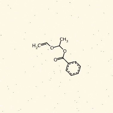 C=COC(C)OC(=O)c1ccccc1